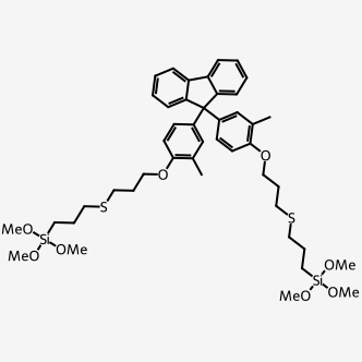 CO[Si](CCCSCCCOc1ccc(C2(c3ccc(OCCCSCCC[Si](OC)(OC)OC)c(C)c3)c3ccccc3-c3ccccc32)cc1C)(OC)OC